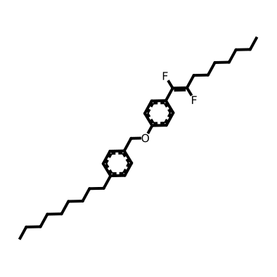 CCCCCCCCCc1ccc(COc2ccc(C(F)=C(F)CCCCCCC)cc2)cc1